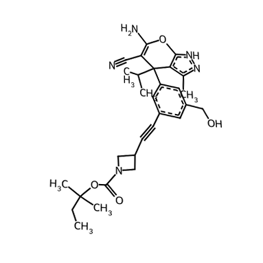 CCC(C)(C)OC(=O)N1CC(C#Cc2cc(CO)cc(C3(C(C)C)C(C#N)=C(N)Oc4[nH]nc(C)c43)c2)C1